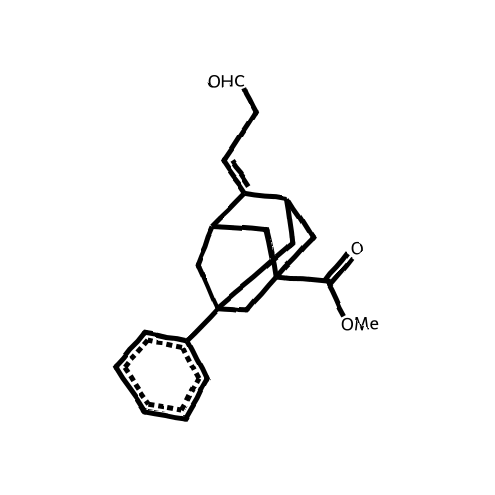 COC(=O)C12CC3CC(c4ccccc4)(CC(C1)C3=CCC=O)C2